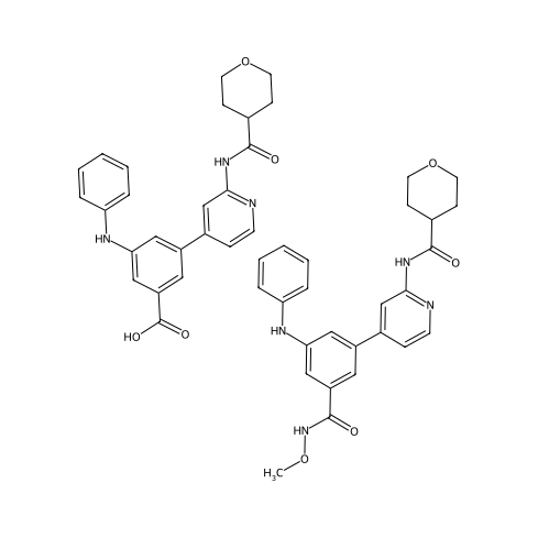 CONC(=O)c1cc(Nc2ccccc2)cc(-c2ccnc(NC(=O)C3CCOCC3)c2)c1.O=C(O)c1cc(Nc2ccccc2)cc(-c2ccnc(NC(=O)C3CCOCC3)c2)c1